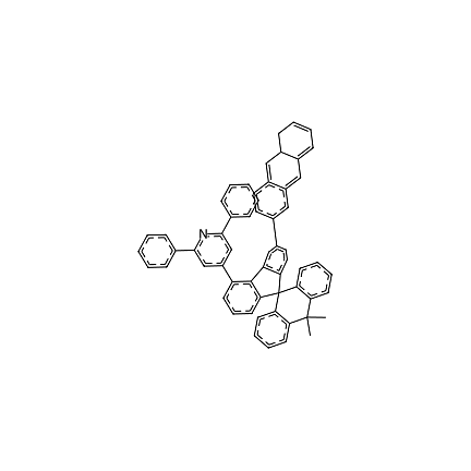 CC1(C)c2ccccc2C2(c3ccc(-c4ccc5c(c4)=CC4=CC=CCC4C=5)cc3-c3c(-c4cc(-c5ccccc5)nc(-c5ccccc5)c4)cccc32)c2ccccc21